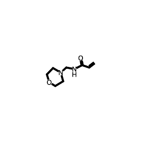 C=CC(=O)NCN1CCOCC1